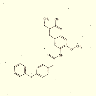 CCC(Cc1ccc(OC)c(NC(=O)Cc2ccc(Oc3ccccc3)cc2)c1)C(=O)O